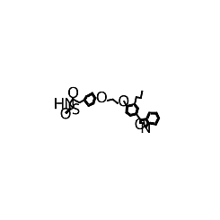 CCCc1cc(-c2onc3ccccc23)ccc1OCCCOc1ccc(C2SC(=O)NC2=O)cc1